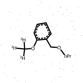 [2H]C([2H])([2H])Oc1ccccc1COCCC